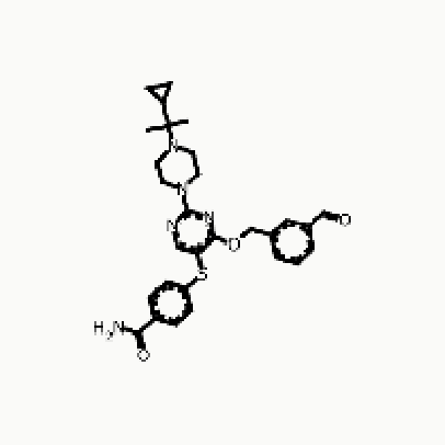 CC(C)(C1CC1)N1CCN(c2ncc(Sc3ccc(C(N)=O)cc3)c(OCc3cccc(C=O)c3)n2)CC1